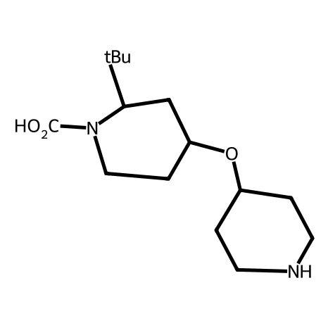 CC(C)(C)C1CC(OC2CCNCC2)CCN1C(=O)O